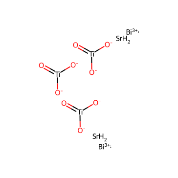 [Bi+3].[Bi+3].[O]=[Ti]([O-])[O-].[O]=[Ti]([O-])[O-].[O]=[Ti]([O-])[O-].[SrH2].[SrH2]